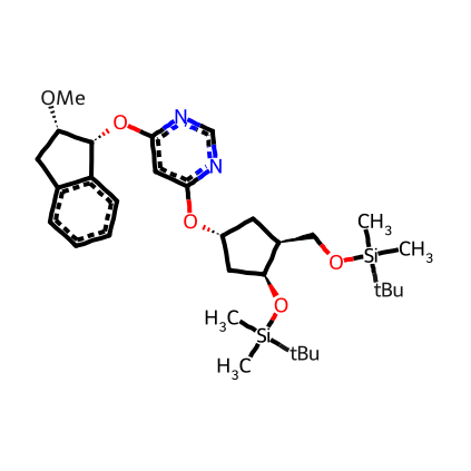 CO[C@H]1Cc2ccccc2[C@H]1Oc1cc(O[C@@H]2C[C@@H](CO[Si](C)(C)C(C)(C)C)[C@@H](O[Si](C)(C)C(C)(C)C)C2)ncn1